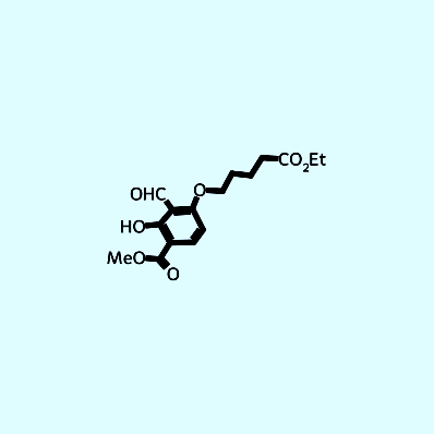 CCOC(=O)CCCCOc1ccc(C(=O)OC)c(O)c1C=O